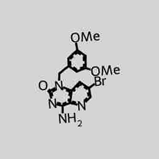 COc1cc(Cn2c(=O)nc(N)c3ncc(Br)cc32)cc(OC)c1